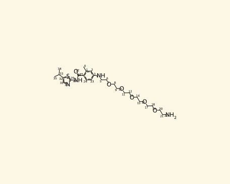 Cc1cc(NCCOCCOCCOCCOCCOCCN)ccc1C(=O)Nc1ncc(C(C)C)s1